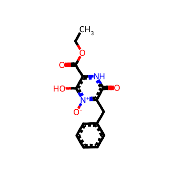 CCOC(=O)c1[nH]c(=O)c(Cc2ccccc2)[n+]([O-])c1O